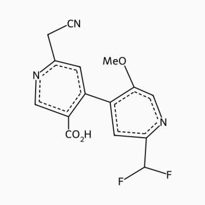 COc1cnc(C(F)F)cc1-c1cc(CC#N)ncc1C(=O)O